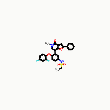 CCS(=O)(=O)Nc1ccc(Oc2ccc(F)cc2F)c(-c2cn(C)c(=O)c3cc(-c4ccccc4)oc23)c1